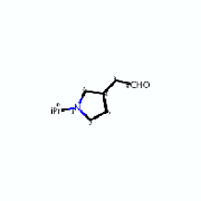 CC(C)N1CCC(CC=O)C1